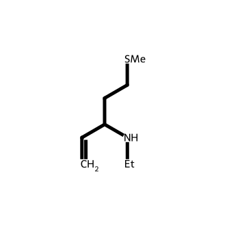 C=CC(CCSC)NCC